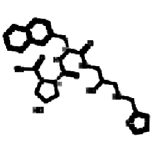 CC(C)(C)C(=O)N1CCC[C@H]1C(=O)N[C@H](Cc1ccc2ccccc2c1)C(=O)NCC(O)CNCc1cccs1.Cl